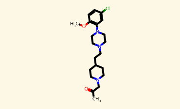 COc1ccc(Cl)cc1N1CCN(CCC2CCN(CC(C)=O)CC2)CC1